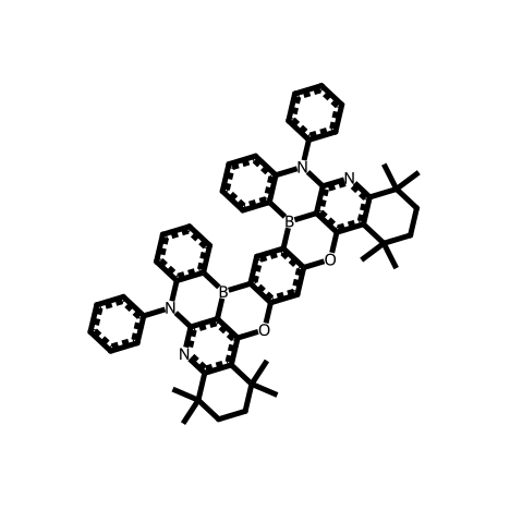 CC1(C)CCC(C)(C)c2c1nc1c3c2Oc2cc4c(cc2B3c2ccccc2N1c1ccccc1)B1c2ccccc2N(c2ccccc2)c2nc3c(c(c21)O4)C(C)(C)CCC3(C)C